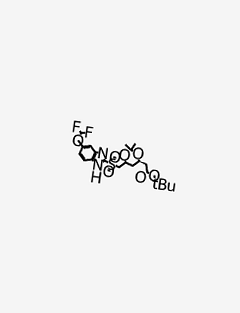 CC(C)(C)OC(=O)C[C@H]1CC(CS(=O)(=O)c2nc3cc(OC(F)F)ccc3[nH]2)OC(C)(C)O1